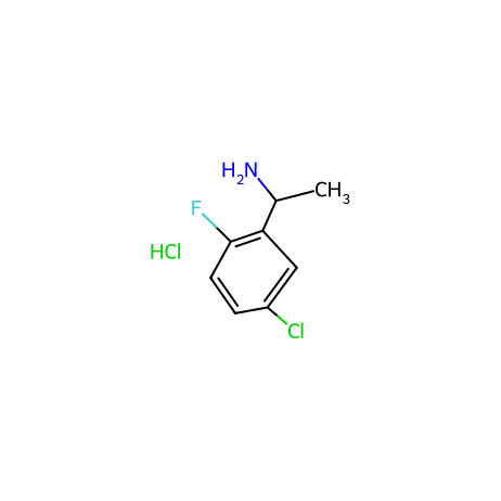 CC(N)c1cc(Cl)ccc1F.Cl